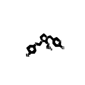 CCc1ccc(N=CN2CCN(Cc3ccc(Cl)nc3)C2=N[N+](=O)[O-])cc1